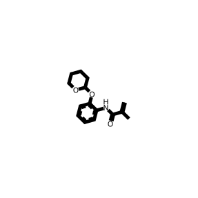 C=C(C)C(=O)Nc1ccccc1OC1CCCCO1